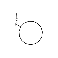 S=C=NC1CCCCCCCCCCCCCC1